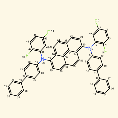 Fc1ccc(F)c(N(c2ccc(-c3ccccc3)cc2)c2ccc3ccc4c(N(c5ccc(-c6ccccc6)cc5)c5cc(F)ccc5F)ccc5ccc2c3c54)c1